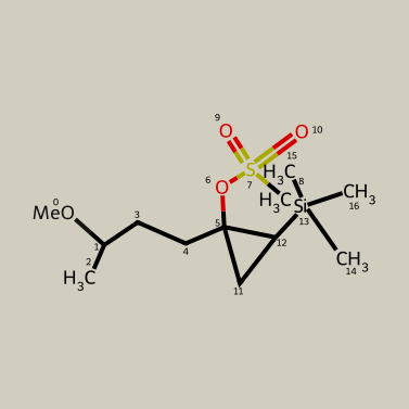 COC(C)CCC1(OS(C)(=O)=O)CC1[Si](C)(C)C